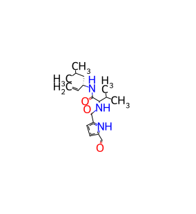 C=C[C@H](CC(C)C)NC(=O)[C@@H](NC(=O)c1ccc(C=O)[nH]1)C(C)C